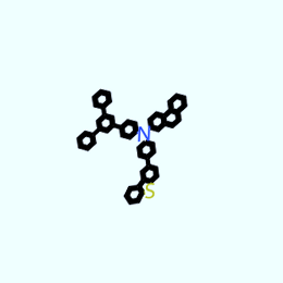 c1ccc(-c2cc(-c3ccccc3)cc(-c3ccc(N(c4ccc(-c5ccc6sc7ccccc7c6c5)cc4)c4ccc5c(ccc6ccccc65)c4)cc3)c2)cc1